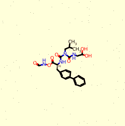 CC(C)CN(C(=O)NCC(O)O)C(=O)N[C@@H](Cc1ccc(-c2ccccc2)cc1)C(=O)ONC=O